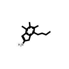 CCCCc1c(C)c(C)c(C)c2c1CC(N)=C2